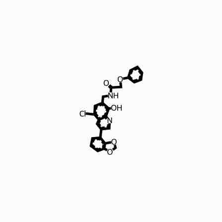 O=C(COc1ccccc1)NCc1cc(Cl)c2cc(-c3cccc4c3OCO4)cnc2c1O